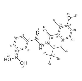 CCC(N(NC(=O)c1cccc(B(O)O)c1)C(=O)c1cccc(OC)c1C)C(C)(C)C